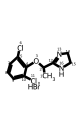 Br.CC(Oc1c(Cl)cccc1Cl)C1=NCCN1